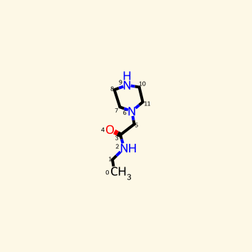 CCNC(=O)CN1CCNCC1